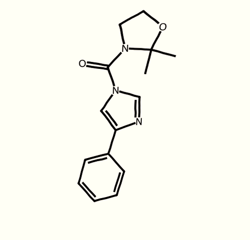 CC1(C)OCCN1C(=O)n1cnc(-c2ccccc2)c1